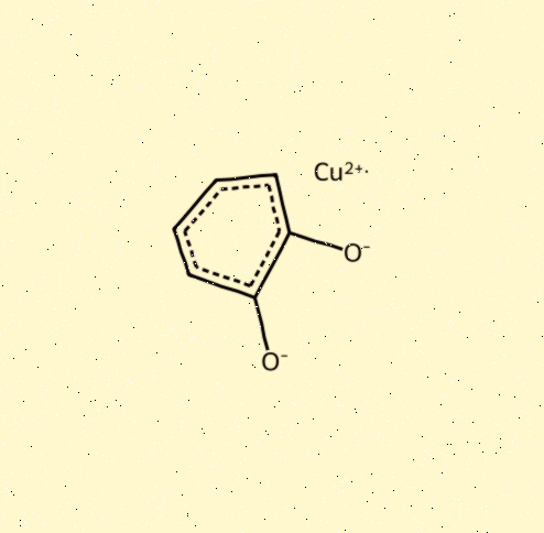 [Cu+2].[O-]c1ccccc1[O-]